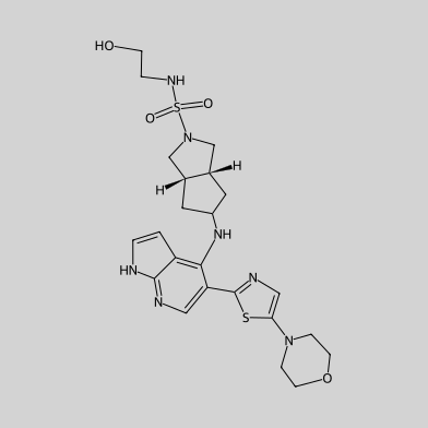 O=S(=O)(NCCO)N1C[C@H]2CC(Nc3c(-c4ncc(N5CCOCC5)s4)cnc4[nH]ccc34)C[C@H]2C1